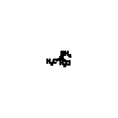 C[SiH2]Cl.[SiH4]